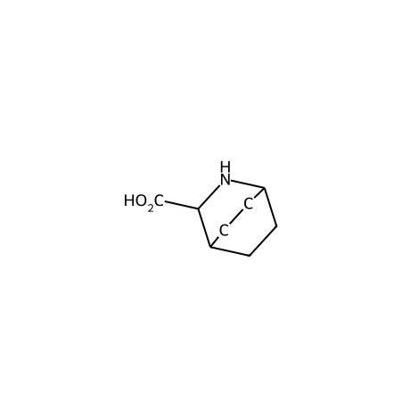 O=C(O)C1NC2CCC1CC2